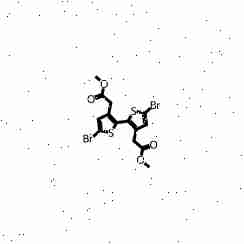 COC(=O)Cc1cc(Br)sc1-c1sc(Br)cc1CC(=O)OC